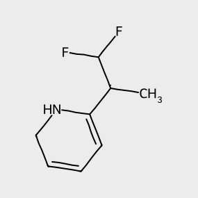 C[C](C1=CC=CCN1)C(F)F